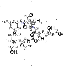 C/C(=C\c1cc(F)cc(N2CCN(CCO)CC2)c1)[C@@H](C=O)[C@@H](C)/C=C/[C@H](OC(=O)N1CCOCC1)[C@@H](C)CC[C@@H](O)CC=O